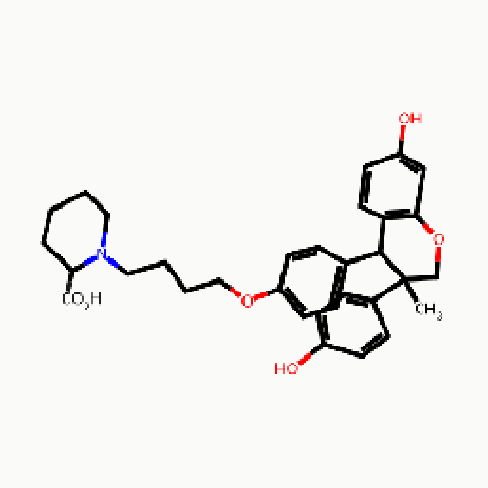 CC1(c2ccc(O)cc2)COc2cc(O)ccc2C1c1ccc(OCCCCN2CCCCC2C(=O)O)cc1